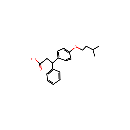 CC(C)CCOc1ccc(C(CC(=O)O)c2ccccc2)cc1